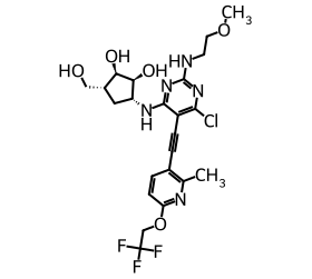 COCCNc1nc(Cl)c(C#Cc2ccc(OCC(F)(F)F)nc2C)c(N[C@@H]2C[C@H](CO)[C@@H](O)[C@H]2O)n1